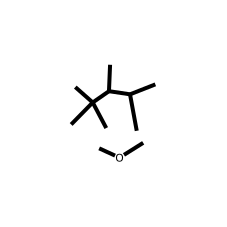 CC(C)C(C)C(C)(C)C.COC